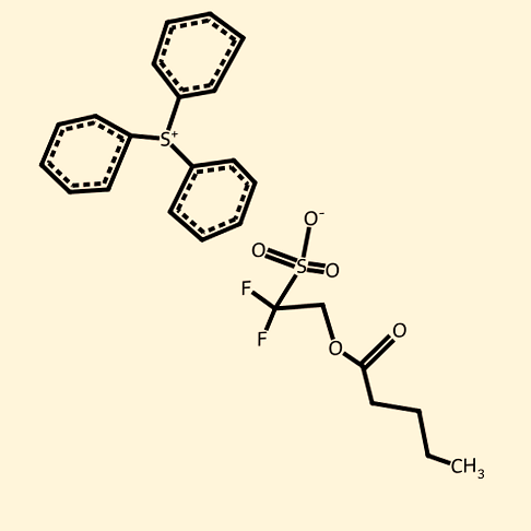 CCCCC(=O)OCC(F)(F)S(=O)(=O)[O-].c1ccc([S+](c2ccccc2)c2ccccc2)cc1